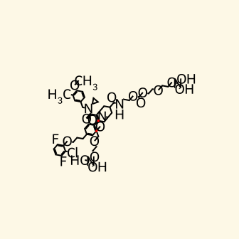 COc1ccc(CN(C(=O)C2=C(c3ccc(CCCOc4c(F)ccc(F)c4Cl)cc3)CC3CC(C(=O)NCCOC(=O)OCCOCCON(O)O)CC2N3C(=O)OCCOCCON(O)O)C2CC2)cc1C